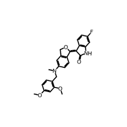 COc1ccc(CN(C)c2ccc3c(c2)COC3=C2C(=O)Nc3cc(F)ccc32)c(OC)c1